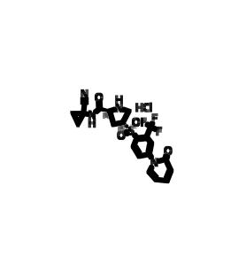 Cl.N#CC1(NC(=O)[C@@H]2C[C@@H](S(=O)(=O)c3ccc(-n4ccccc4=O)cc3C(F)(F)F)CN2)CC1